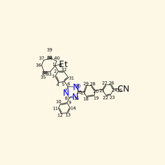 CCC1(c2ccc(-c3nc(-c4ccccc4)nc(-c4ccc(-c5ccc(C#N)cc5)cc4)n3)cc2)C[C@H](C)CC[C@H](C)C1